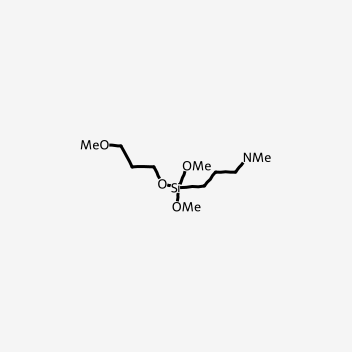 CNCCC[Si](OC)(OC)OCCCOC